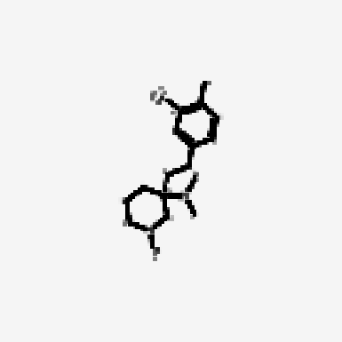 Cc1ccc(CC[C@]2(N(C)C)CCCN(C(C)C)C2)cc1C(F)(F)F